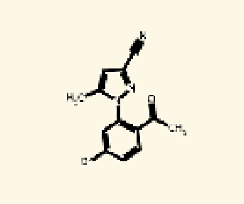 CC(=O)c1ccc(Br)cc1-n1nc(C#N)cc1C